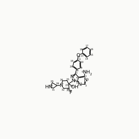 Nc1ncnc2c1c(-c1ccc(Oc3ccccc3)cc1)nn2C1(O)CCN(C2CNC2)C[C@H]1F